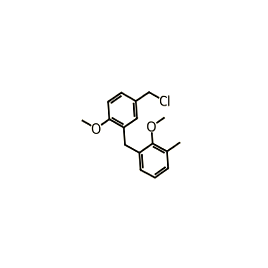 COc1ccc(CCl)cc1Cc1cccc(C)c1OC